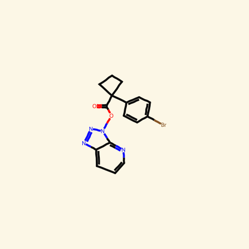 O=C(On1nnc2cccnc21)C1(c2ccc(Br)cc2)CCC1